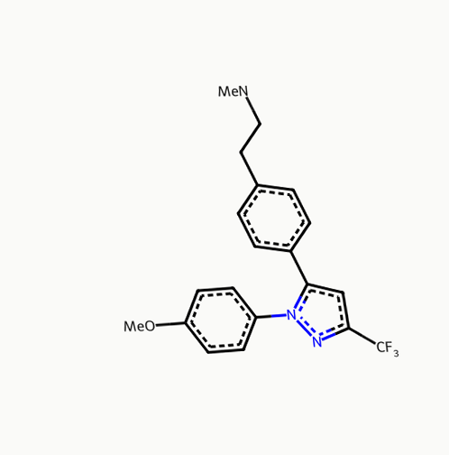 CNCCc1ccc(-c2cc(C(F)(F)F)nn2-c2ccc(OC)cc2)cc1